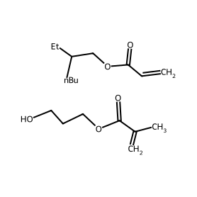 C=C(C)C(=O)OCCCO.C=CC(=O)OCC(CC)CCCC